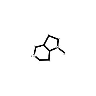 CN1CCC2COCCC21